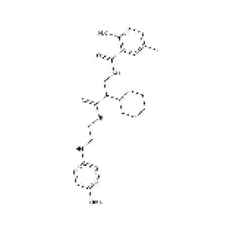 COc1ccc(NCCNC(=O)C(CNC(=O)c2cc(F)ccc2C)C2CCCCC2)cc1